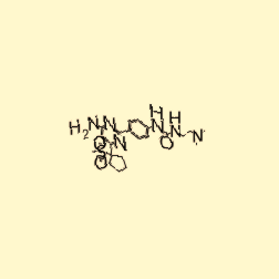 CN(C)CCNC(=O)Nc1ccc(-c2nc(N)cc(C3(S(C)(=O)=O)CCCC3)n2)cc1